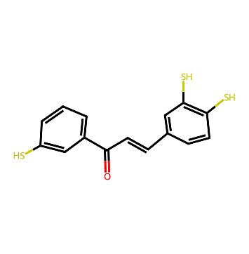 O=C(C=Cc1ccc(S)c(S)c1)c1cccc(S)c1